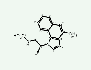 CCC(CNC(=O)O)n1cnc2c(N)nc3ccccc3c21